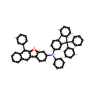 c1ccc(-c2c3ccccc3cc3c2oc2cc(N(c4ccccc4)c4ccc5c(c4)C(c4ccccc4)(c4ccccc4)c4ccccc4-5)ccc23)cc1